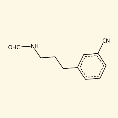 N#Cc1cccc(CCCNC=O)c1